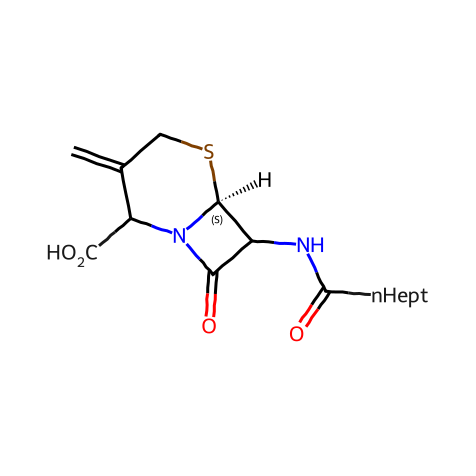 C=C1CS[C@H]2C(NC(=O)CCCCCCC)C(=O)N2C1C(=O)O